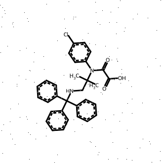 CC(C)(CNC(c1ccccc1)(c1ccccc1)c1ccccc1)N(C(=O)C(=O)O)c1ccc(Cl)cc1